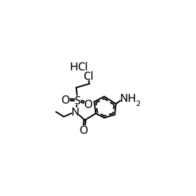 CCN(C(=O)c1ccc(N)cc1)S(=O)(=O)CCCl.Cl